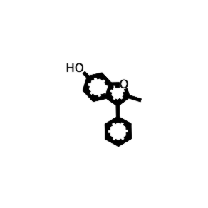 Cc1oc2cc(O)ccc2c1-c1ccccc1